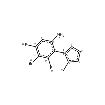 Cc1cccn1-c1c(N)cc(F)c(Br)c1F